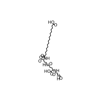 O=CNCC(=O)NC(CCC(=O)NCCC(NC(=O)CCCCCCCCCCCCCCCCC(=O)O)C(=O)O)C(=O)O